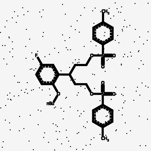 CCCCOc1ccc(F)cc1C(CCOS(=O)(=O)c1ccc(C)cc1)CCOS(=O)(=O)c1ccc(C)cc1